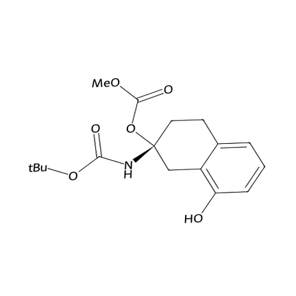 COC(=O)O[C@]1(NC(=O)OC(C)(C)C)CCc2cccc(O)c2C1